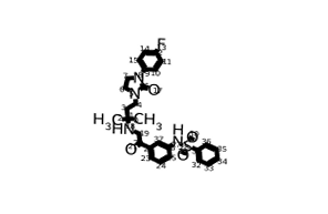 CC(C)(CCN1CCN(c2ccc(F)cc2)C1=O)NCC(=O)c1cccc(NS(=O)(=O)c2ccccc2)c1